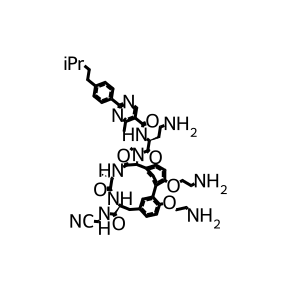 Cc1nc(-c2ccc(CCC(C)C)cc2)ncc1C(=O)N[C@@H](CCN)C(=O)N(C)[C@@H]1C(=O)N[C@@H](C)C(=O)N[C@H](C(=O)NCC#N)Cc2ccc(OCCN)c(c2)-c2cc1ccc2OCCN